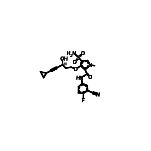 Cn1cc(S(N)(=O)=O)c(OCC[C@H](O)C#CC2CC2)c1C(=O)Nc1ccc(F)c(C#N)c1